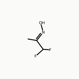 C/C(=N\O)C(F)F